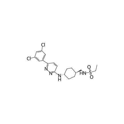 CCS(=O)(=O)NC[C@H]1CC[C@H](Nc2ccc(-c3cc(Cl)cc(Cl)c3)nn2)CC1